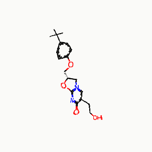 CC(C)(C)c1ccc(OC[C@@H]2Cn3cc(CCO)c(=O)nc3O2)cc1